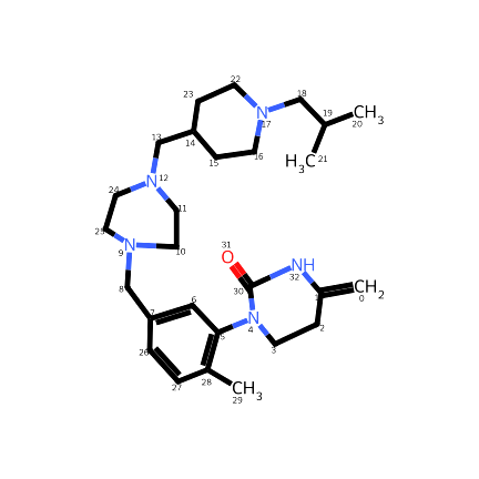 C=C1CCN(c2cc(CN3CCN(CC4CCN(CC(C)C)CC4)CC3)ccc2C)C(=O)N1